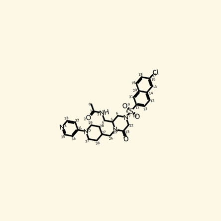 CC(=O)NCC1CN(S(=O)(=O)c2ccc3cc(Cl)ccc3c2)CC(=O)N1CC1CCN(c2ccncc2)CC1